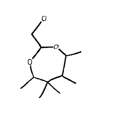 CC1OC(CCl)OC(C)C(C)(C)C1C